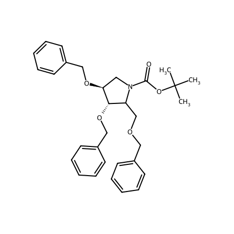 CC(C)(C)OC(=O)N1C[C@H](OCc2ccccc2)[C@@H](OCc2ccccc2)C1COCc1ccccc1